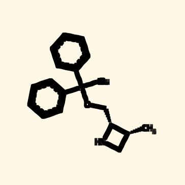 C[C@@H]1CN[C@@H]1CO[Si](c1ccccc1)(c1ccccc1)C(C)(C)C